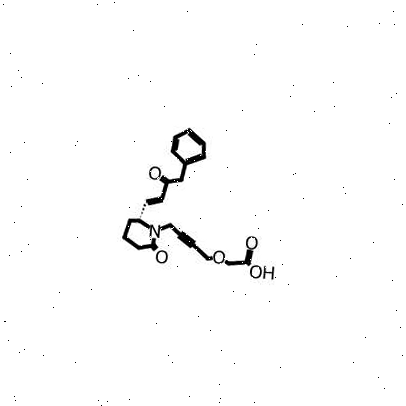 O=C(O)COCC#CCN1C(=O)CCC[C@@H]1/C=C/C(=O)Cc1ccccc1